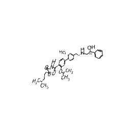 CC(C)CCS(=O)(=O)NC(=O)c1ccc(-c2ccc(CCNC[C@@H](O)c3ccccc3)cc2)cc1OC(C)C.Cl